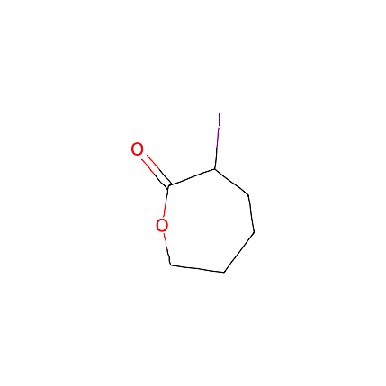 O=C1OCCCCC1I